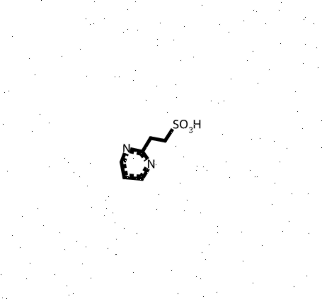 O=S(=O)(O)CCc1ncccn1